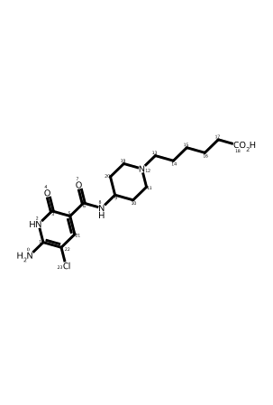 Nc1[nH]c(=O)c(C(=O)NC2CCN(CCCCCC(=O)O)CC2)cc1Cl